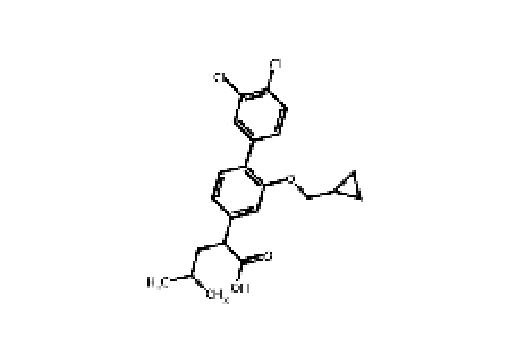 CC(C)CC(C(=O)O)c1ccc(-c2ccc(Cl)c(Cl)c2)c(OCC2CC2)c1